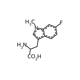 Cn1cc(CC(N)C(=O)O)c2ccc(F)cc21